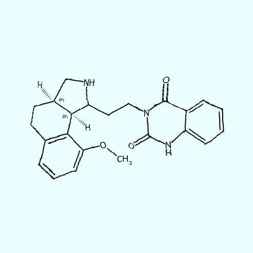 COc1cccc2c1[C@@H]1C(CCn3c(=O)[nH]c4ccccc4c3=O)NC[C@@H]1CC2